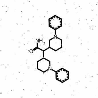 NC(=O)C(C1CCCN(c2ccccc2)C1)C1CCCN(c2ccccc2)C1